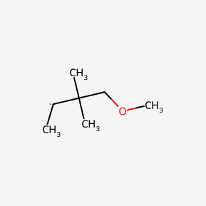 C[CH]C(C)(C)COC